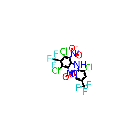 O=[N+]([O-])c1c(Cl)c(C(F)(F)F)c(Cl)c([N+](=O)[O-])c1Nc1ncc(C(F)(F)F)cc1Cl